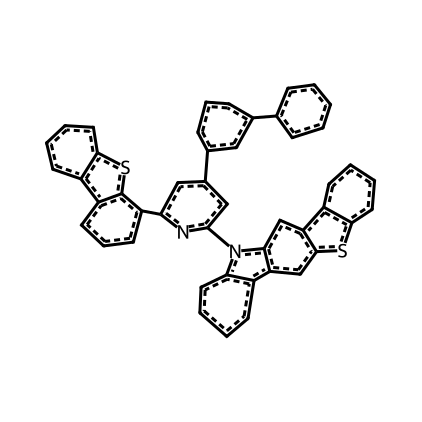 c1ccc(-c2cccc(-c3cc(-c4cccc5c4sc4ccccc45)nc(-n4c5ccccc5c5cc6sc7ccccc7c6cc54)c3)c2)cc1